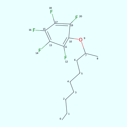 CCCCCCCC(C)Oc1c(F)c(F)c(F)c(F)c1F